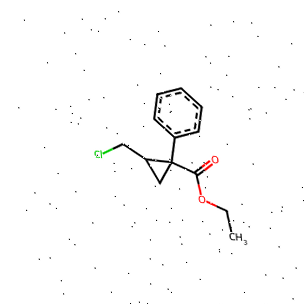 CCOC(=O)C1(c2ccccc2)CC1CCl